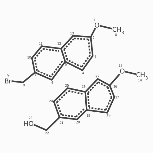 COc1ccc2cc(CBr)ccc2c1.COc1ccc2cc(CO)ccc2c1